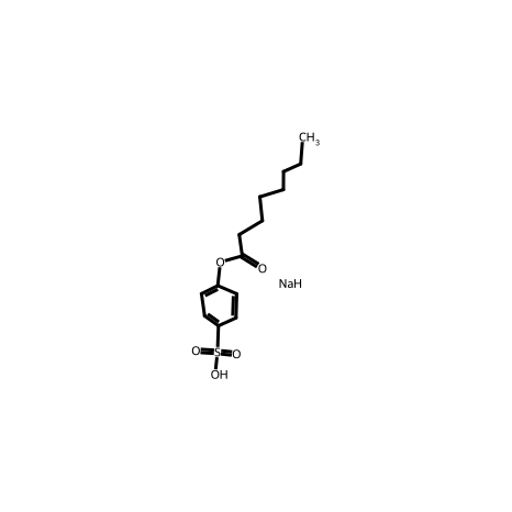 CCCCCCCC(=O)Oc1ccc(S(=O)(=O)O)cc1.[NaH]